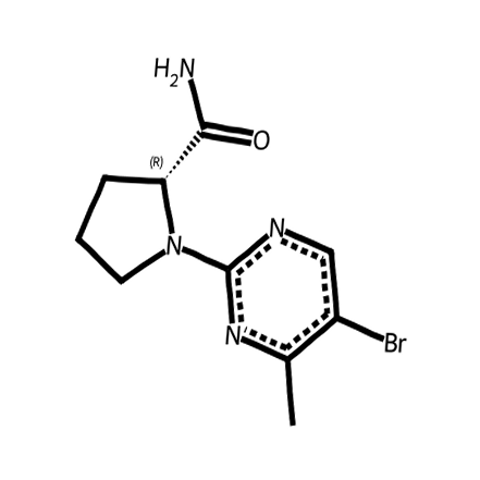 Cc1nc(N2CCC[C@@H]2C(N)=O)ncc1Br